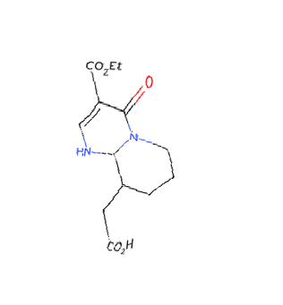 CCOC(=O)C1=CNC2C(CC(=O)O)CCCN2C1=O